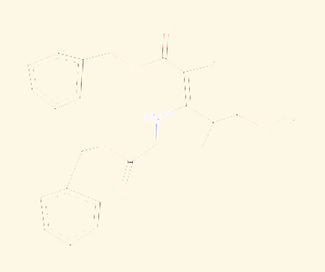 CC(=O)C(C(=O)OCc1ccccc1)=C(NCC(=O)OCc1ccccc1)C(C)COC(C)(C)C